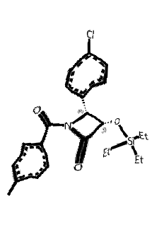 CC[Si](CC)(CC)O[C@@H]1C(=O)N(C(=O)c2ccc(C)cc2)[C@@H]1c1ccc(Cl)cc1